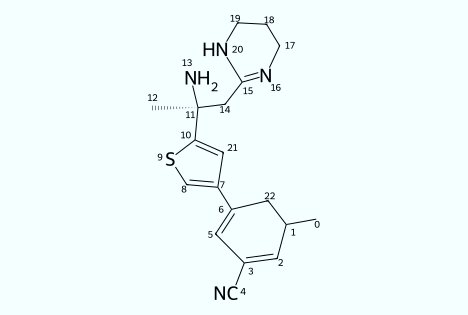 CC1C=C(C#N)C=C(c2csc([C@@](C)(N)CC3=NCCCN3)c2)C1